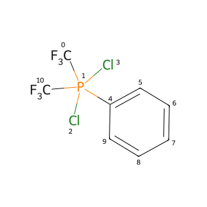 FC(F)(F)P(Cl)(Cl)(c1ccccc1)C(F)(F)F